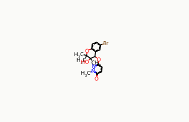 Cn1nc(OC2c3cc(Br)ccc3OC(C)(C)C2(C)O)ccc1=O